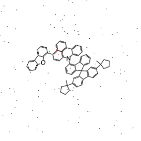 CC1(c2ccc3c(c2)C2(c4cc(C5(C)CCCC5)ccc4-3)c3ccccc3-c3c(N(c4ccc(-c5cccc6c5oc5ccccc56)cc4)c4ccccc4-c4ccccc4)cccc32)CCCC1